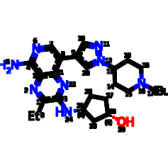 CCc1nc2c(N)ncc(-c3cnn(C4CCN(C(C)CC)CC4)c3)c2nc1N[C@@H]1CC[C@H](O)C1